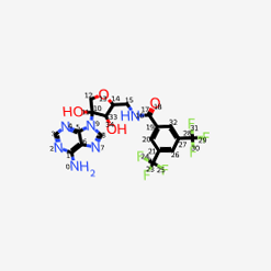 Nc1ncnc2c1ncn2C1(O)COC(CNC(=O)c2cc(C(F)(F)F)cc(C(F)(F)F)c2)C1O